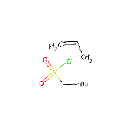 C=CC.CCCCCS(=O)(=O)Cl